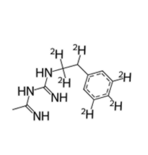 [2H]c1cc(C([2H])C([2H])([2H])NC(=N)NC(C)=N)cc([2H])c1[2H]